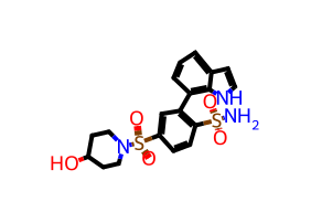 NS(=O)(=O)c1ccc(S(=O)(=O)N2CCC(O)CC2)cc1-c1cccc2cc[nH]c12